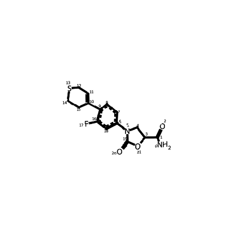 NC(=O)C1CN(c2ccc(C3=CCSCC3)c(F)c2)C(=O)O1